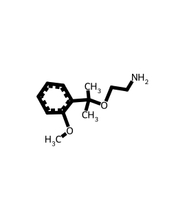 COc1ccccc1C(C)(C)OCCN